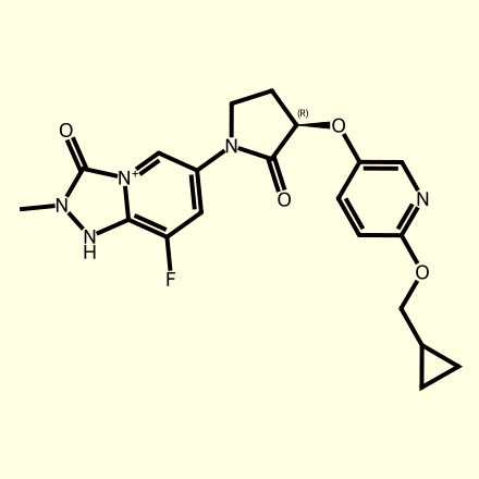 Cn1[nH]c2c(F)cc(N3CC[C@@H](Oc4ccc(OCC5CC5)nc4)C3=O)c[n+]2c1=O